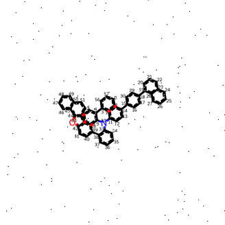 c1ccc(-c2ccccc2N(c2ccc(-c3ccc(-c4cccc5ccccc45)cc3)cc2)c2ccccc2-c2ccc3oc4c5ccccc5ccc4c3c2)cc1